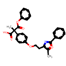 Cc1oc(-c2ccccc2)nc1CCOc1ccc(C(C)(C(=O)O)C(=O)Oc2ccccc2)cc1